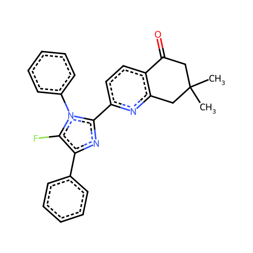 CC1(C)CC(=O)c2ccc(-c3nc(-c4ccccc4)c(F)n3-c3ccccc3)nc2C1